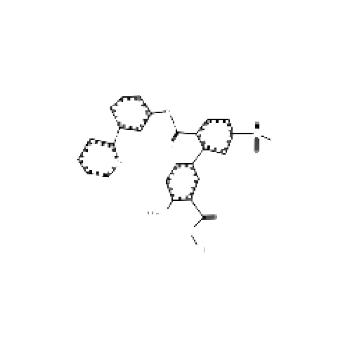 COc1ccc(-c2cc(S(C)(=O)=O)ccc2C(=O)Nc2cccc(-c3ccccn3)c2)cc1C(=O)OS